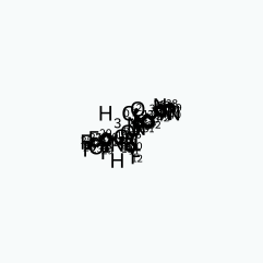 CC(=O)c1nn(CC(=O)N2C[C@H](F)C[C@H]2C(=O)Nc2cccc(OC(F)(F)F)c2F)c2ccc(-c3cnc4ccnn4c3)cc12